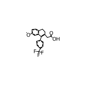 COc1ccc2c(c1)C(c1ccc(C(F)(F)F)cc1)=C(CC(=O)O)CC2